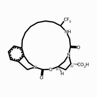 O=C(O)[C@@H]1C[C@@H]2CN1C(=O)CNC(C(F)(F)F)CCCCCCc1cccc3c1CN(C3)C(=O)O2